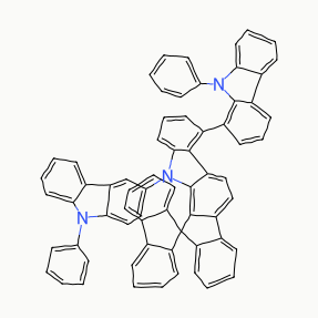 c1ccc(-n2c3ccccc3c3cc(-n4c5cccc(-c6cccc7c8ccccc8n(-c8ccccc8)c67)c5c5ccc6c(c54)C4(c5ccccc5-c5ccccc54)c4ccccc4-6)ccc32)cc1